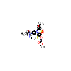 CCCCC1(CC)CN(c2ccc(NC(=O)C(C)(C)C)cc2)c2cc(SC)c(O/C=C/C(=O)OCC)cc2S(=O)(=O)C1